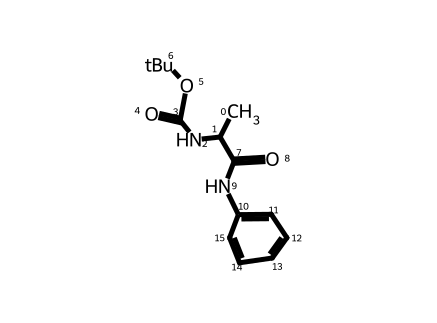 CC(NC(=O)OC(C)(C)C)C(=O)Nc1ccccc1